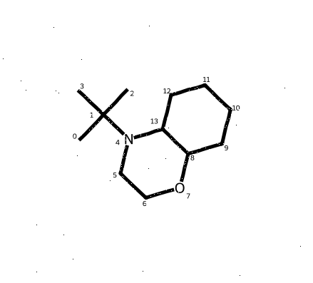 CC(C)(C)N1CCOC2CCCCC21